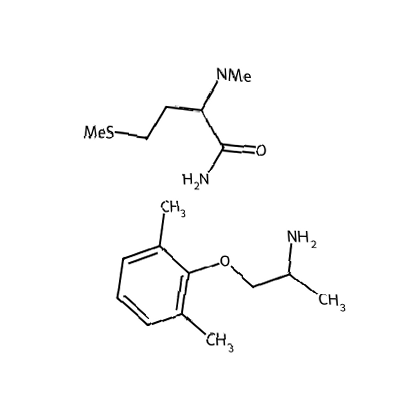 CNC(CCSC)C(N)=O.Cc1cccc(C)c1OCC(C)N